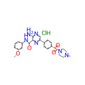 COc1cccc(NC(=O)c2nc(-c3ccc(S(=O)(=O)N4CCN(C)CC4)cc3)cnc2N)c1.Cl